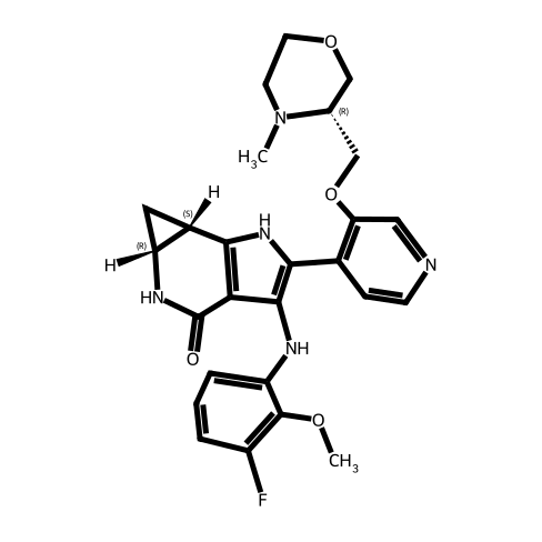 COc1c(F)cccc1Nc1c(-c2ccncc2OC[C@H]2COCCN2C)[nH]c2c1C(=O)N[C@@H]1C[C@H]21